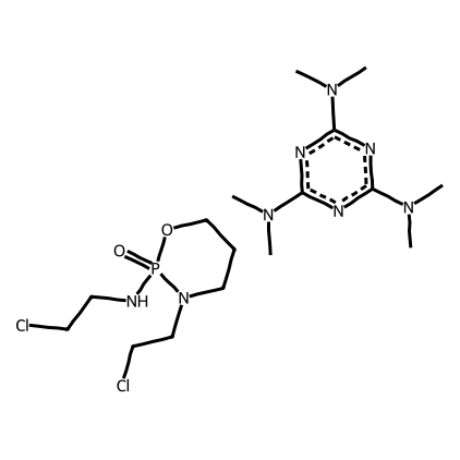 CN(C)c1nc(N(C)C)nc(N(C)C)n1.O=P1(NCCCl)OCCCN1CCCl